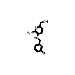 Nc1nc(CO)ccc1NCc1cccc(Br)c1